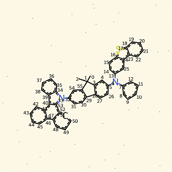 CC1(C)c2cc(N(c3ccccc3)c3ccc4sc5ccccc5c4c3)ccc2-c2ccc(-n3c4ccccc4c4c5ccccc5c5ccccc5c43)cc21